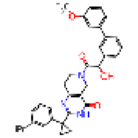 CC(C)c1cccc(C2(c3nc4c(c(=O)[nH]3)CN(C(=O)[C@H](O)c3cccc(-c5cccc(OC(F)(F)F)c5)c3)CC4)CC2)c1